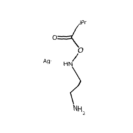 CC(C)C(=O)ONCCN.[Ag]